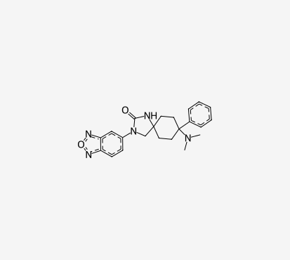 CN(C)C1(c2ccccc2)CCC2(CC1)CN(c1ccc3nonc3c1)C(=O)N2